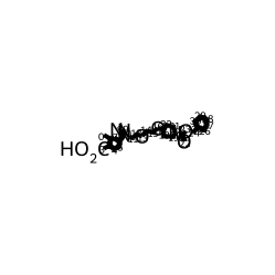 Cc1c(C(=O)O)ccc2c1nnn2CCOCCOC1CCN(C(=O)OCc2ccccc2)CC1